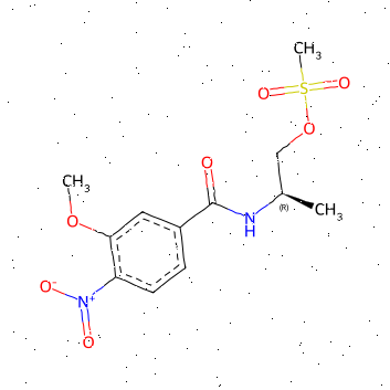 COc1cc(C(=O)N[C@H](C)COS(C)(=O)=O)ccc1[N+](=O)[O-]